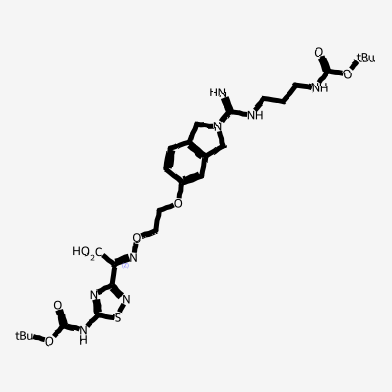 CC(C)(C)OC(=O)NCCCNC(=N)N1Cc2ccc(OCCO/N=C(\C(=O)O)c3nsc(NC(=O)OC(C)(C)C)n3)cc2C1